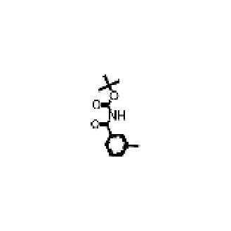 Cc1cccc(C(=O)NC(=O)OC(C)(C)C)c1